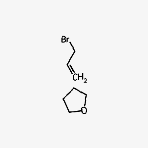 C1CCOC1.C=CCBr